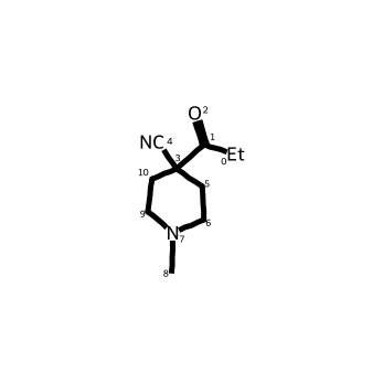 CCC(=O)C1(C#N)CCN(C)CC1